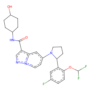 O=C(NC1CCC(O)CC1)c1cnn2ccc(N3CCCC3c3cc(F)ccc3OC(F)F)cc12